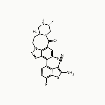 C[C@@H]1CN2C(=O)c3cc(F)c(-c4ccc(F)c5sc(N)c(C#N)c45)c4cnn(c34)CC[C@H]2CN1